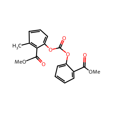 COC(=O)c1ccccc1OC(=O)Oc1cccc(C)c1C(=O)OC